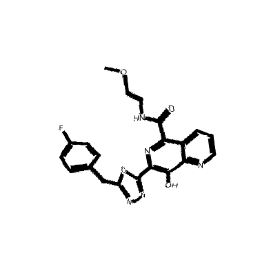 COCCNC(=O)c1nc(-c2nnc(Cc3ccc(F)cc3)o2)c(O)c2ncccc12